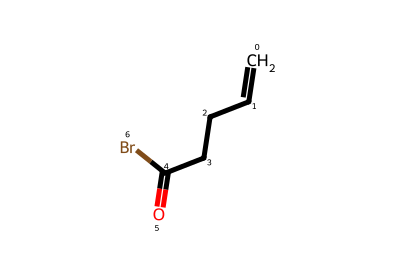 C=CCCC(=O)Br